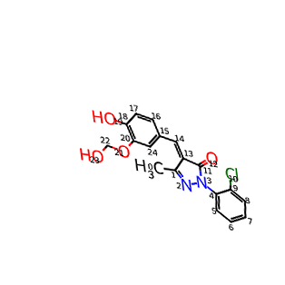 CC1=NN(c2ccccc2Cl)C(=O)/C1=C/c1ccc(O)c(OCO)c1